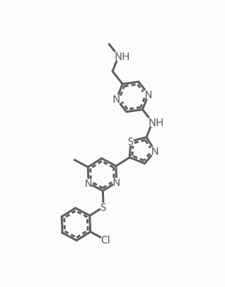 CNCc1cnc(Nc2ncc(-c3cc(C)nc(Sc4ccccc4Cl)n3)s2)cn1